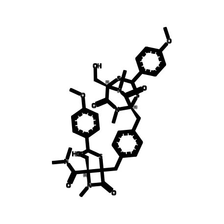 COc1ccc(C(S)SC2(Cc3ccc(C[C@@]45SC(c6ccc(OC)cc6)S[C@@](CO)(C(=O)N4C)N(C)C5=O)cc3)C(=O)N(C)[C@]2(CO)C(=O)N(C)C)cc1